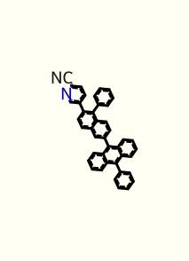 N#Cc1ccc(-c2ccc3cc(-c4c5ccccc5c(-c5ccccc5)c5ccccc45)ccc3c2-c2ccccc2)cn1